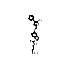 O=C(O)CCCNC(=O)N1CCc2cc(OCc3cc(-c4ccccc4)c(C(F)(F)F)s3)ccc21